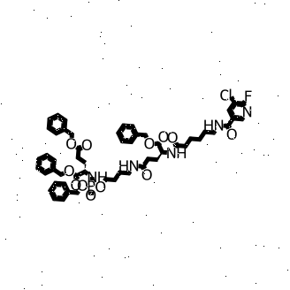 O=C(CC[C@H](NC(=O)CCCCCNC(=O)c1cnc(F)c(Cl)c1)C(=O)OCc1ccccc1)NCCCCOP(=O)(N[C@@H](CCC(=O)OCc1ccccc1)C(=O)OCc1ccccc1)OCc1ccccc1